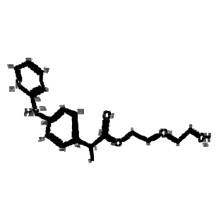 CC(C(=O)OCCOCCO)c1ccc(Nc2ccccn2)cc1